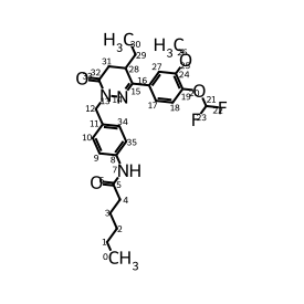 CCCCCC(=O)Nc1ccc(CN2N=C(c3ccc(OC(F)F)c(OC)c3)C(CC)CC2=O)cc1